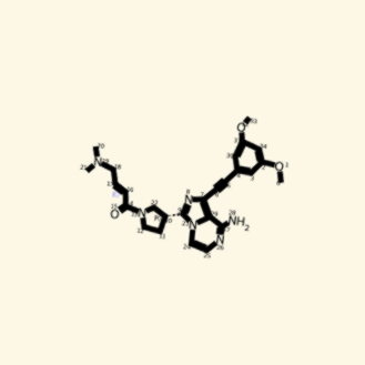 COc1cc(C#Cc2nc([C@@H]3CCN(C(=O)/C=C/CN(C)C)C3)n3ccnc(N)c23)cc(OC)c1